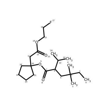 CCC(C)(C)CC(C(=O)OC1(CC(=O)OCCF)CCCC1)C(C)C